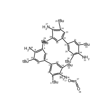 CC(C)(C)c1cc(-c2cc(C(C)(C)C)c(N)c(C(C)(C)C)c2)cc(C(C)(C)C)c1N.CC(C)(C)c1cc(-c2cc(C(C)(C)C)c(N)c(C(C)(C)C)c2)cc(C(C)(C)C)c1N.O=S=O